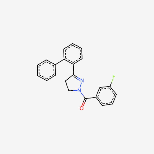 O=C(c1cccc(F)c1)N1CCC(c2ccccc2-c2ccccc2)=N1